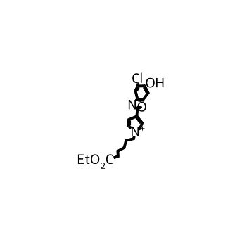 CCOC(=O)CCCCC[n+]1ccc(-c2nc3cc(Cl)c(O)cc3o2)cc1